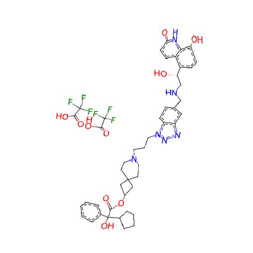 O=C(O)C(F)(F)F.O=C(O)C(F)(F)F.O=C(OC1CC2(CCN(CCCn3nnc4cc(CNC[C@H](O)c5ccc(O)c6[nH]c(=O)ccc56)ccc43)CC2)C1)C(O)(c1ccccc1)C1CCCC1